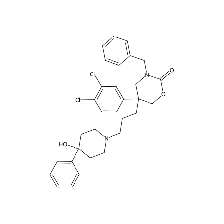 O=C1OCC(CCCN2CCC(O)(c3ccccc3)CC2)(c2ccc(Cl)c(Cl)c2)CN1Cc1ccccc1